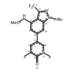 CCCCn1nc(C(F)(F)F)c2c(NSC)cc(-c3cc(C)c(=O)n(C)c3)cc21